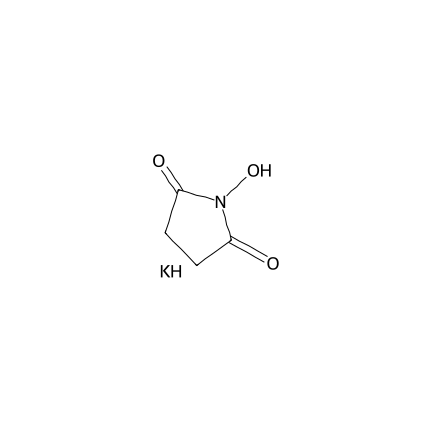 O=C1CCC(=O)N1O.[KH]